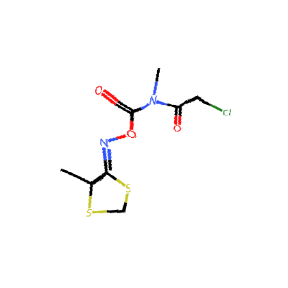 CC1SCSC1=NOC(=O)N(C)C(=O)CCl